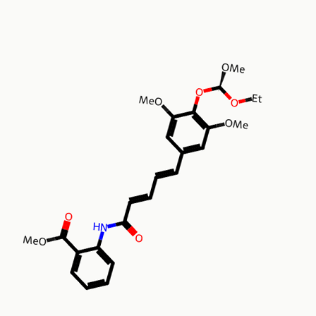 CCO[C@H](OC)Oc1c(OC)cc(/C=C/C=C/C(=O)Nc2ccccc2C(=O)OC)cc1OC